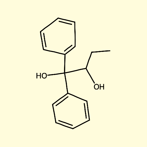 CCC(O)C(O)(c1ccccc1)c1ccccc1